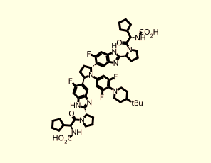 CC(C)(C)C1CCN(c2c(F)cc(N3[C@@H](c4cc5nc([C@@H]6CCCN6C(=O)[C@@H](NC(=O)O)C6CCCC6)[nH]c5cc4F)CC[C@@H]3c3cc4nc([C@@H]5CCCN5C(=O)[C@@H](NC(=O)O)C5CCCC5)[nH]c4cc3F)cc2F)CC1